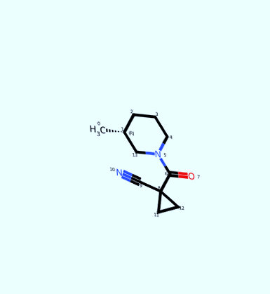 C[C@@H]1CCCN(C(=O)C2(C#N)CC2)C1